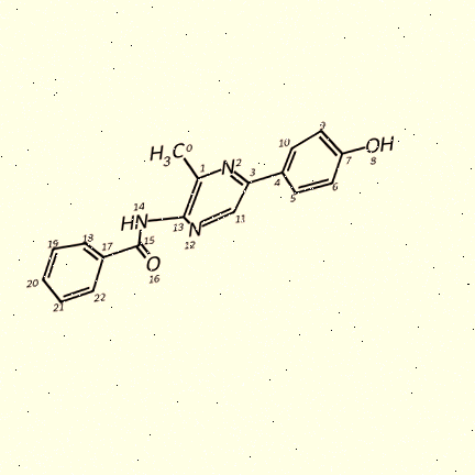 Cc1nc(-c2ccc(O)cc2)cnc1NC(=O)c1ccccc1